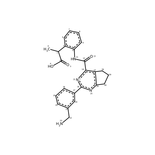 CC(C(=O)O)c1ccccc1NC(=O)c1nc(-c2cccc(CN)c2)nc2c1CCC2